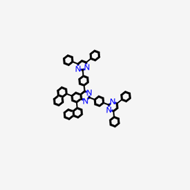 c1ccc(-c2cc(-c3ccccc3)nc(-c3ccc(-c4nc(-c5ccc(-c6nc(-c7ccccc7)cc(-c7ccccc7)n6)cc5)c5cc(-c6cccc7ccccc67)cc(-c6cccc7ccccc67)c5n4)cc3)n2)cc1